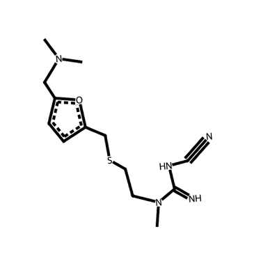 CN(C)Cc1ccc(CSCCN(C)C(=N)NC#N)o1